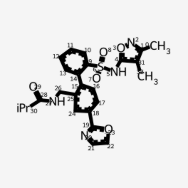 Cc1noc(NS(=O)(=O)c2ccccc2-c2ccc(-c3ncco3)cc2CNC(=O)C(C)C)c1C